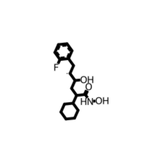 O=C(NO)C(CC(O)[CH]Cc1ccccc1F)C1CCCCC1